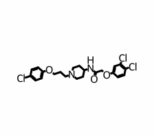 O=C(COc1ccc(Cl)c(Cl)c1)NC1CCN(CCCOc2ccc(Cl)cc2)CC1